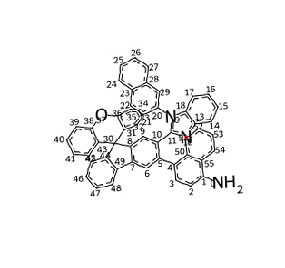 Nc1ccc(-c2cc3c(cc2-c2nc4ccccc4n2-c2ccc4ccccc4c2)C2(c4ccccc4Oc4ccccc42)c2ccccc2-3)c2ccccc12